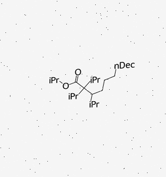 CCCCCCCCCCCCCC(C(C)C)C(C(=O)OC(C)C)(C(C)C)C(C)C